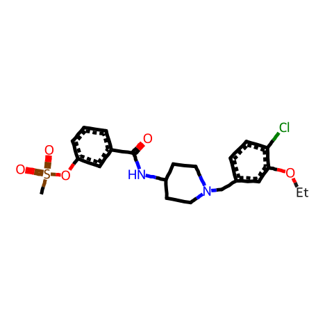 CCOc1cc(CN2CCC(NC(=O)c3cccc(OS(C)(=O)=O)c3)CC2)ccc1Cl